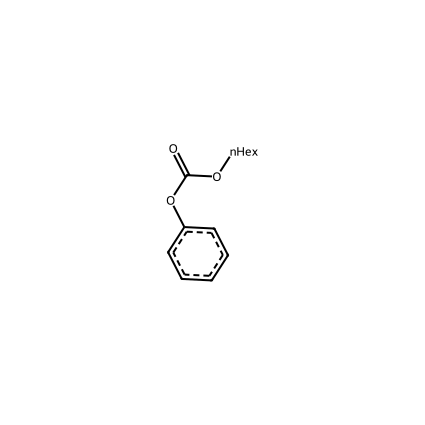 CCCCCCOC(=O)Oc1ccccc1